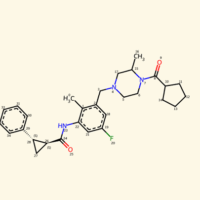 Cc1c(CN2CCN(C(=O)C3CCCC3)C(C)C2)cc(F)cc1NC(=O)[C@H]1C[C@@H]1c1ccccc1